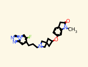 CN1C(=O)Cc2ccc(OC3CC4(C3)CN(CCCc3cc5nncn5cc3F)C4)cc21